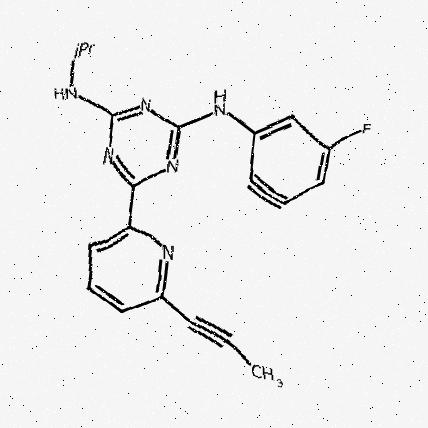 CC#Cc1cccc(-c2nc(Nc3c#ccc(F)c3)nc(NC(C)C)n2)n1